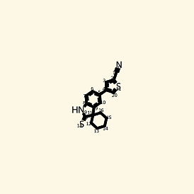 N#Cc1cc(-c2ccc3c(c2)C2(CCCCC2)C(=S)N3)cs1